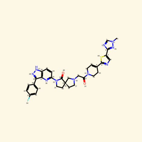 Cn1cnc(-c2cnc(C3=CCN(C(=O)CN4CC[C@]5(CCN(c6ccc7[nH]nc(-c8ccc(F)cc8)c7n6)C5=O)C4)CC3)s2)n1